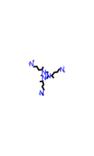 CC(CCCN(C)C)N1CN(C(C)CCCN(C)C)CN(C(C)CCCN(C)C)C1